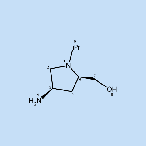 CC(C)N1C[C@H](N)C[C@@H]1CO